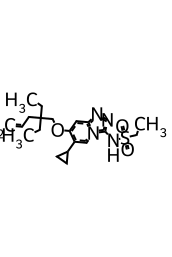 C=CCC(CC)(CC)COc1cc2nnc(NS(=O)(=O)CC)n2cc1C1CC1